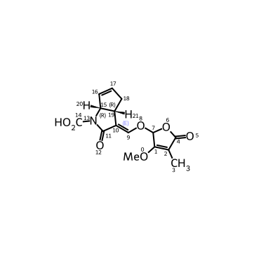 COC1=C(C)C(=O)OC1O/C=C1/C(=O)N(C(=O)O)[C@@H]2C=CC[C@H]12